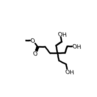 COC(=O)CCC(CCO)(CCO)CCO